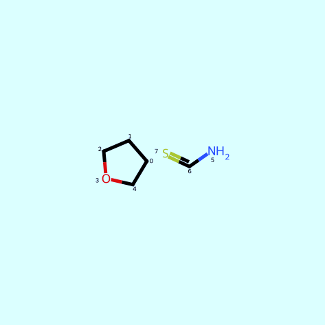 C1CCOC1.NC=S